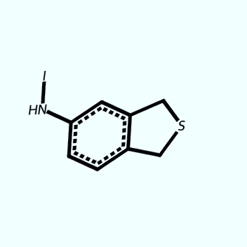 INc1ccc2c(c1)CSC2